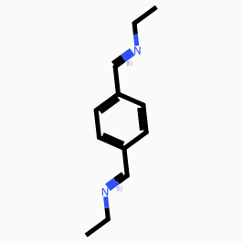 CC/N=C/c1ccc(/C=N/CC)cc1